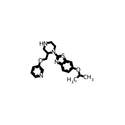 CC(C)Oc1ccc2nc(N3CCNCC3COc3cccnc3)sc2c1